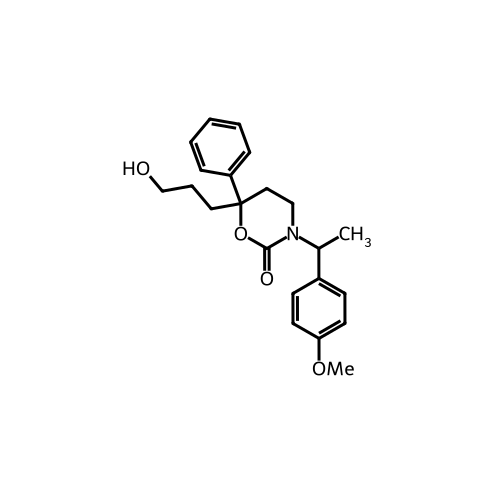 COc1ccc(C(C)N2CCC(CCCO)(c3ccccc3)OC2=O)cc1